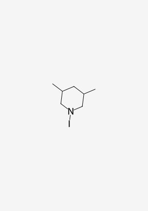 CC1CC(C)CN(I)C1